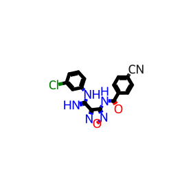 N#Cc1ccc(C(=O)Nc2nonc2C(=N)Nc2cccc(Cl)c2)cc1